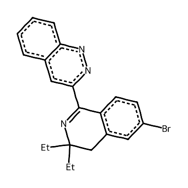 CCC1(CC)Cc2cc(Br)ccc2C(c2cc3ccccc3nn2)=N1